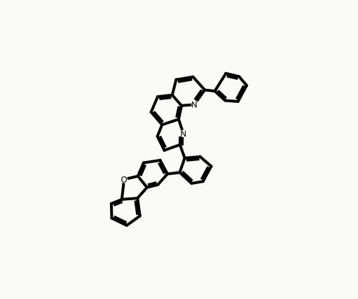 c1ccc(-c2ccc3ccc4ccc(-c5ccccc5-c5ccc6oc7ccccc7c6c5)nc4c3n2)cc1